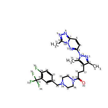 Cc1nn(-c2ccc3nnc(C)n3n2)c(C)c1CCC(=O)N1CCN(Cc2ccc(F)c(C(F)(F)F)c2)CC1